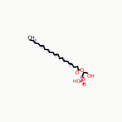 CC/C=C/C/C=C/C/C=C/C/C=C/C/C=C/C/C=C/CCC(=O)OC(CO)CO[PH](=O)O